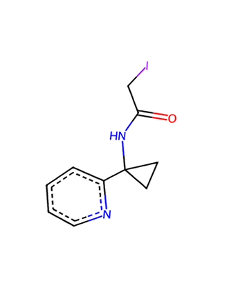 O=C(CI)NC1(c2ccccn2)CC1